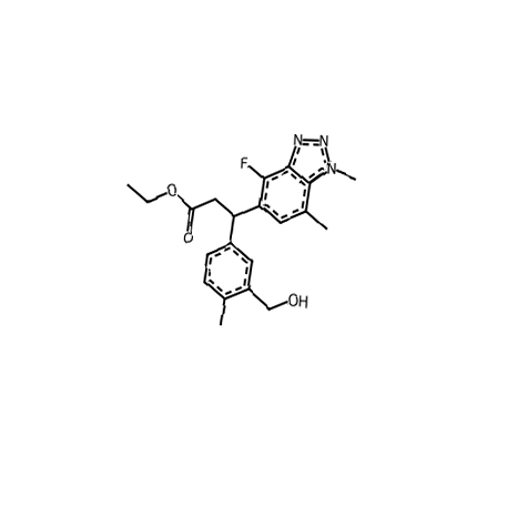 CCOC(=O)CC(c1ccc(C)c(CO)c1)c1cc(C)c2c(nnn2C)c1F